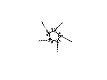 CCCCCCCCCCOc1cc2cc(c1)/C(C#N)=C/c1cc(OCCCCCCCCCC)cc(c1)/C(C#N)=C/c1cc(OCCCCCCCCCC)cc(c1)/C(C#N)=C/c1cc(OCCCCCCCCCC)cc(c1)/C(C#N)=C/c1cc(OCCCCCCCCCC)cc(c1)/C(C#N)=C/2